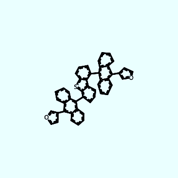 c1cc(-c2c3ccccc3c(-c3ccoc3)c3ccccc23)c2c(c1)sc1c(-c3c4ccccc4c(-c4ccoc4)c4ccccc34)cccc12